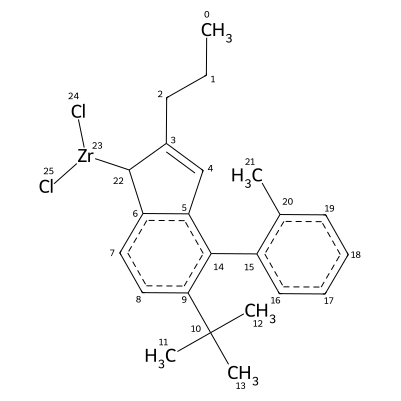 CCCC1=Cc2c(ccc(C(C)(C)C)c2-c2ccccc2C)[CH]1[Zr]([Cl])[Cl]